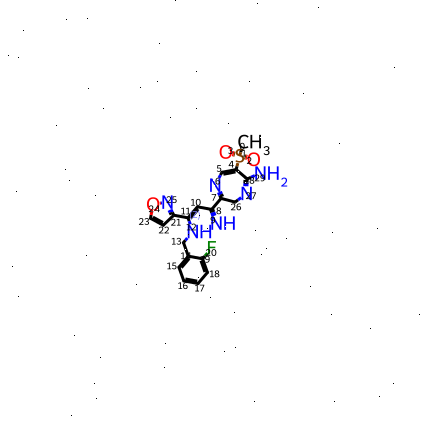 CS(=O)(=O)C1=CN=C(C(=N)/C=C(\NCc2ccccc2F)c2ccon2)CN=C1N